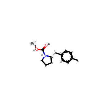 Cc1ccc(C[C@@H]2CCCN2C(=O)OC(C)(C)C)cc1